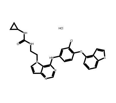 Cl.O=C(NCCn1ccc2ncnc(Nc3ccc(Oc4cccc5sccc45)c(Cl)c3)c21)NC1CC1